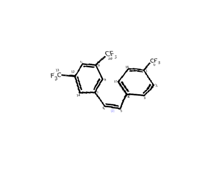 FC(F)(F)c1ccc(/C=C\c2cc(C(F)(F)F)cc(C(F)(F)F)c2)cc1